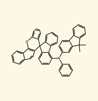 CC1(C)c2ccccc2-c2ccc(N(c3ccccc3)c3cccc4c3-c3ccccc3C43c4ccccc4Oc4c3ccc3ccccc43)cc21